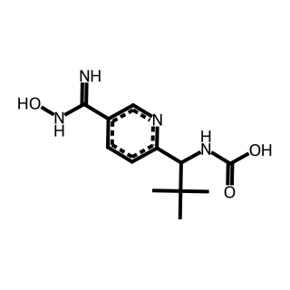 CC(C)(C)C(NC(=O)O)c1ccc(C(=N)NO)cn1